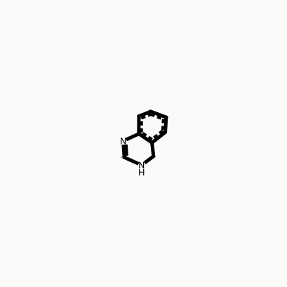 [C]1=Nc2ccccc2CN1